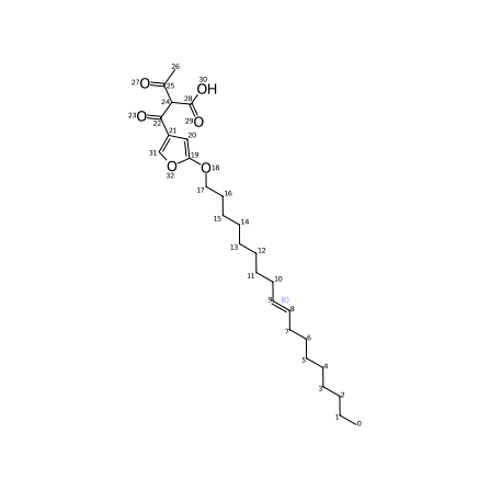 CCCCCCCC/C=C/CCCCCCCCOc1cc(C(=O)C(C(C)=O)C(=O)O)co1